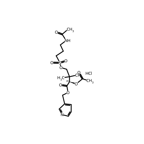 CC(=O)NCCCS(=O)(=O)OCC(C)(C)[C@@H](OC(C)=O)C(=O)OCc1cccnc1.Cl